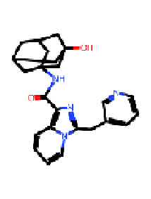 O=C(NC12CC3CC(CC(O)(C3)C1)C2)c1nc(Cc2cccnc2)n2ccccc12